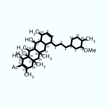 COC1CC(CCCC2C=CC(C)C3C(O)C4C(C)C5(C)C(O)C(C(C)=O)=C(C)CC5(C)CC4(C)CC23)CCC1C